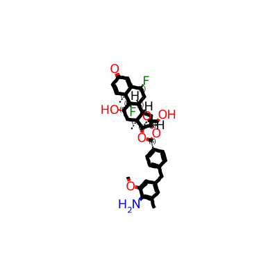 COc1cc(Cc2ccc([C@H]3O[C@@H]4C[C@H]5[C@@H]6C[C@H](F)C7=CC(=O)C=C[C@]7(C)[C@@]6(F)[C@@H](O)C[C@]5(C)[C@]4(C(=O)CO)O3)cc2)cc(C)c1N